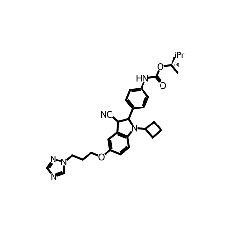 CC(C)[C@@H](C)OC(=O)Nc1ccc(C2C(C#N)c3cc(OCCCn4cncn4)ccc3N2C2CCC2)cc1